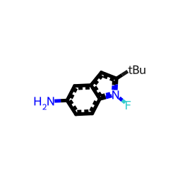 CC(C)(C)c1cc2cc(N)ccc2n1F